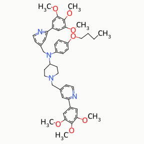 CCCCOc1ccc(N(Cc2ccnc(-c3cc(OC)c(OC)c(OC)c3)c2)C2CCN(Cc3ccnc(-c4cc(OC)c(OC)c(OC)c4)c3)CC2)cc1